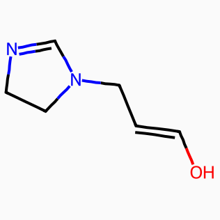 OC=CCN1C=NCC1